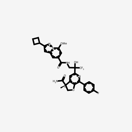 COc1cc(C(=O)NCC(O)(c2cc3c(c(-c4ccc(F)cc4)n2)OC[C@]3(C)C(N)=O)C(F)(F)F)cc2cc(C3CCC3)nn12